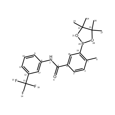 Cc1ccc(C(=O)Nc2cccc(C(F)(F)F)c2)cc1B1OC(C)(C)C(C)(C)O1